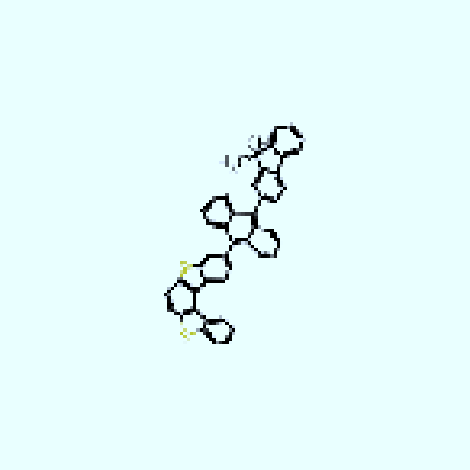 CC1(C)c2ccccc2-c2ccc(-c3c4ccccc4c(-c4ccc5c(c4)sc4ccc6sc7ccccc7c6c45)c4ccccc34)cc21